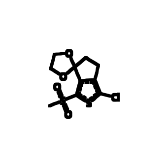 CS(=O)(=O)c1sc(Cl)c2c1C1(CC2)OCCO1